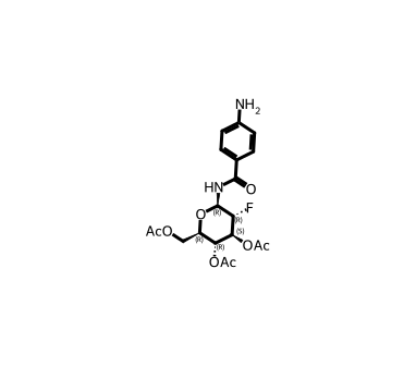 CC(=O)OC[C@H]1O[C@@H](NC(=O)c2ccc(N)cc2)[C@H](F)[C@@H](OC(C)=O)[C@@H]1OC(C)=O